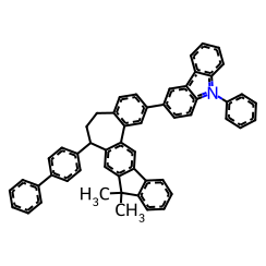 CC1(C)c2ccccc2-c2cc3c(cc21)C(c1ccc(-c2ccccc2)cc1)CCc1ccc(-c2ccc4c(c2)c2ccccc2n4-c2ccccc2)cc1-3